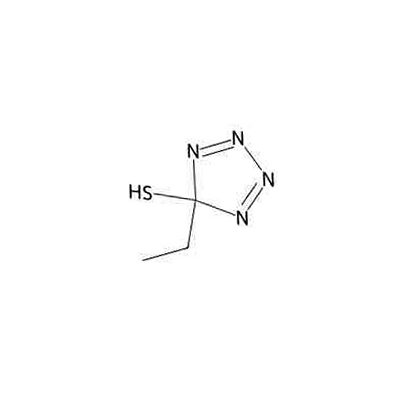 CCC1(S)N=NN=N1